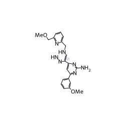 COCc1cccc(CN/C=C(\N=N)c2cc(-c3cccc(OC)c3)nc(N)n2)n1